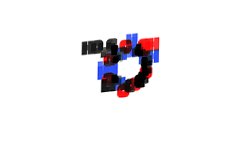 CC[C@@H]1NC(=O)COCCOCCNC(=O)[C@H](CO)NC(=O)N[C@@H](CCC(=O)O)C(=O)NNC1=O